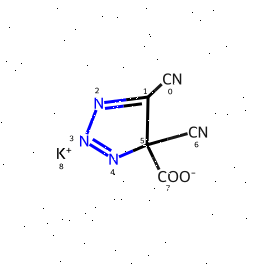 N#CC1=NN=NC1(C#N)C(=O)[O-].[K+]